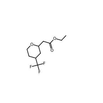 CCOC(=O)CC1CC(C(F)(F)F)CCO1